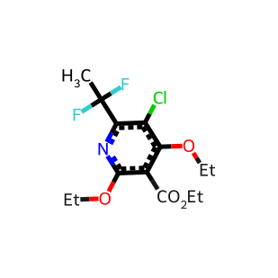 CCOC(=O)c1c(OCC)nc(C(C)(F)F)c(Cl)c1OCC